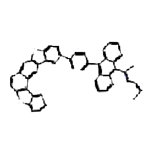 C=C(/C=C\C(=C)c1c2ccccc2c(/C(C)=C/C=C\C)c2ccccc12)c1ccc2sc3cc4ccc5oc6ccccc6c5c4cc3c2c1